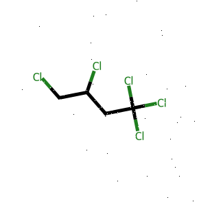 ClCC(Cl)[CH]C(Cl)(Cl)Cl